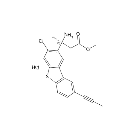 CC#Cc1ccc2sc3cc(Cl)c([C@@](C)(N)CC(=O)OC)cc3c2c1.Cl